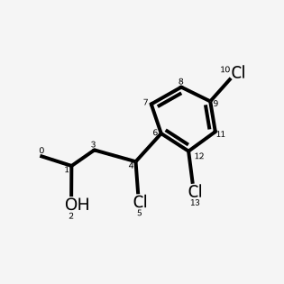 CC(O)CC(Cl)c1ccc(Cl)cc1Cl